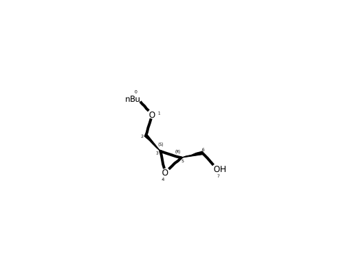 CCCCOC[C@@H]1O[C@@H]1CO